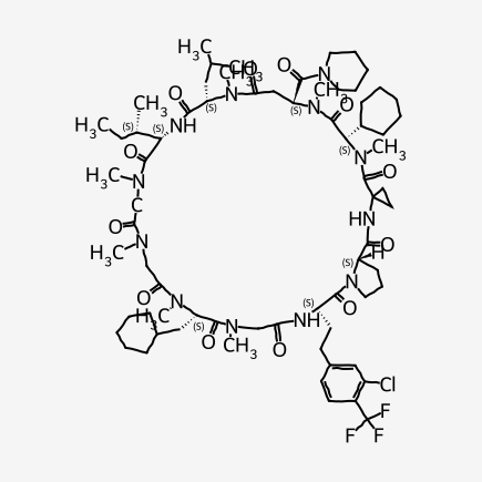 CC[C@H](C)[C@@H]1NC(=O)[C@H](CC(C)C)N(C)C(=O)C[C@@H](C(=O)N2CCCCC2)N(C)C(=O)[C@H](C2CCCCC2)N(C)C(=O)C2(CC2)NC(=O)[C@@H]2CCCN2C(=O)[C@H](CCc2ccc(C(F)(F)F)c(Cl)c2)NC(=O)CN(C)C(=O)[C@H](CC2CCCCC2)N(C)C(=O)CN(C)C(=O)CN(C)C1=O